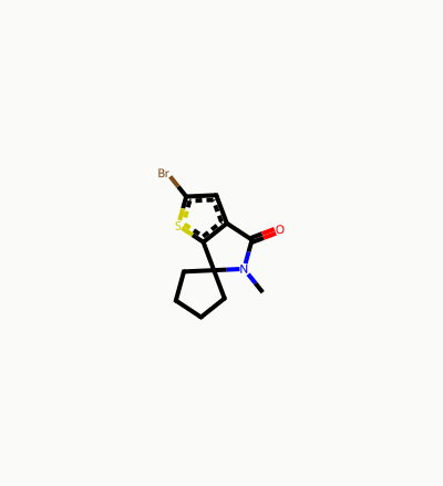 CN1C(=O)c2cc(Br)sc2C12CCCC2